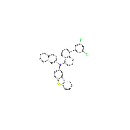 Clc1cc(Cl)cc(-c2cccc3c(N(c4ccc5ccccc5c4)c4ccc5sc6ccccc6c5c4)cccc23)c1